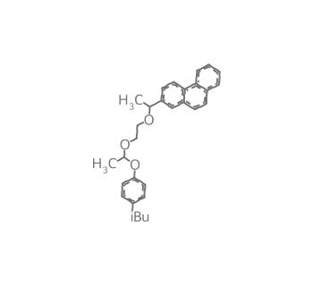 CCC(C)c1ccc(OC(C)OCCOC(C)c2ccc3c(ccc4ccccc43)c2)cc1